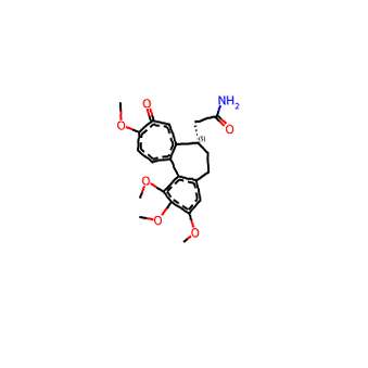 COc1cc2c(c(OC)c1OC)-c1ccc(OC)c(=O)cc1[C@H](CC(N)=O)CC2